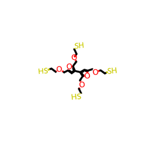 SCCOCc1cc(-c2cc(COCCS)oc2COCCS)c(COCCS)o1